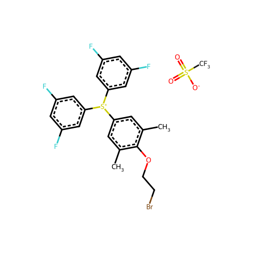 Cc1cc([S+](c2cc(F)cc(F)c2)c2cc(F)cc(F)c2)cc(C)c1OCCBr.O=S(=O)([O-])C(F)(F)F